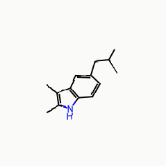 Cc1[nH]c2ccc(CC(C)C)cc2c1C